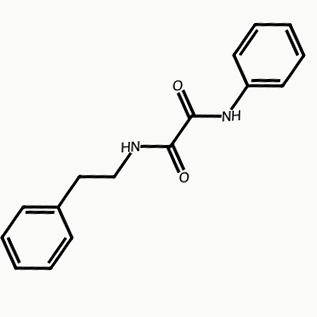 O=C(NCCc1ccccc1)C(=O)Nc1ccccc1